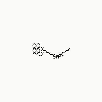 CC(=O)CC(=O)[O-].CC(=O)CC(=O)[O-].CCCCCCC[CH2][Sn+2][CH2]CCCCCCC